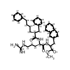 COC(=O)C(Cc1ccc2ccccc2c1)NC(=O)[C@@H](CCCNC(=N)N)NC(=O)[C@@H](CCCCc1ccccc1)Cc1ccccc1